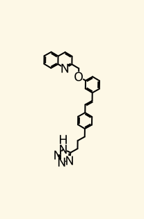 C(=Cc1cccc(OCc2ccc3ccccc3n2)c1)c1ccc(CCCc2nnn[nH]2)cc1